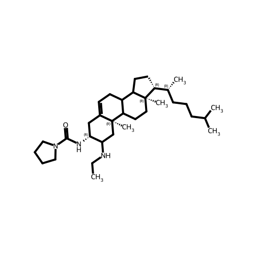 CCNC1C[C@@]2(C)C(=CCC3C2CC[C@@]2(C)C3CC[C@@H]2[C@H](C)CCCC(C)C)C[C@H]1NC(=O)N1CCCC1